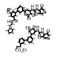 CCOC(=O)CCc1cccc(-c2cccc(-c3cc(NC(=O)Nc4c(Cl)cncc4Cl)c(=O)n(CC)n3)c2)c1.CCn1nc(-c2cccc(-c3cc(OC(F)(F)F)cc(C(=O)NCCN4CCCC4)c3)c2)cc(NC(=O)Nc2c(Cl)cncc2Cl)c1=O